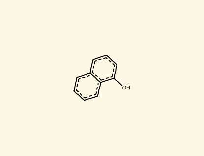 Oc1cccc2ccc[c]c12